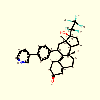 C[C@]12C[C@H](c3ccc(-c4cccnc4)cc3)C3=C4CCC(=O)C=C4CC[C@H]3[C@@H]1CC[C@@]2(O)C(F)(F)C(F)(F)F